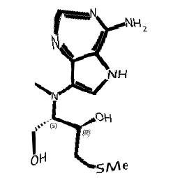 CSC[C@H](O)[C@H](CO)N(C)c1c[nH]c2c(N)ncnc12